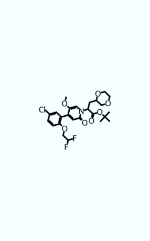 COc1cn(C(CC2COCCO2)C(=O)OC(C)(C)C)c(=O)cc1-c1cc(Cl)ccc1OCC(F)F